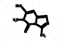 CSc1cc2cnc(C)n2c(=O)n1C